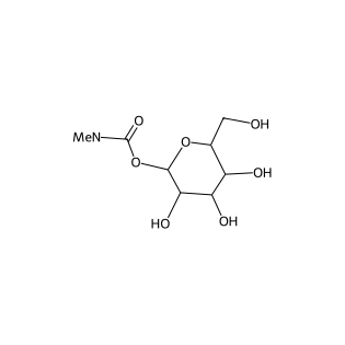 CNC(=O)OC1OC(CO)C(O)C(O)C1O